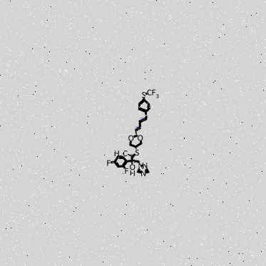 C[C@@H](S[C@H]1CO[C@H](/C=C/C=C/c2ccc(SC(F)(F)F)cc2)OC1)[C@](O)(Cn1cncn1)c1ccc(F)cc1F